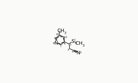 CSC(CC#N)c1cncc(C)c1